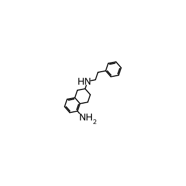 Nc1cccc2c1CCC(NCCc1ccccc1)C2